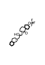 O=C1c2ccc(OC(F)(F)F)cc2CCCN1C[C@H](O)CN1CCc2ccccc2C1